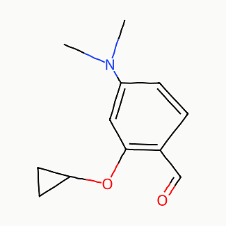 CN(C)c1ccc(C=O)c(OC2CC2)c1